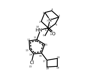 CC1CC2CC(C1)N2C(=O)Nc1ccc(Cl)c(C2CCC2)c1